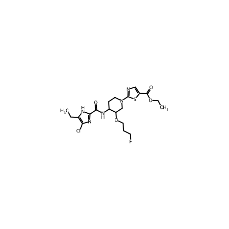 CCOC(=O)c1cnc(N2CCC(NC(=O)c3nc(Cl)c(CC)[nH]3)C(OCCCF)C2)s1